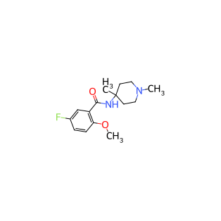 COc1ccc(F)cc1C(=O)NC1(C)CCN(C)CC1